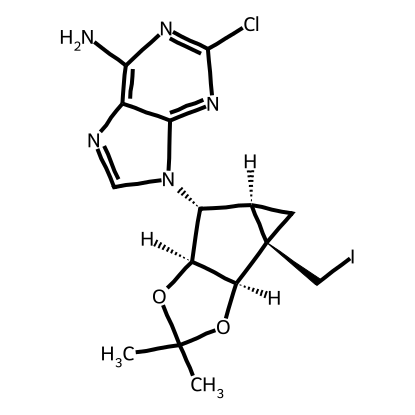 CC1(C)O[C@H]2[C@H](n3cnc4c(N)nc(Cl)nc43)[C@H]3C[C@]3(CI)[C@H]2O1